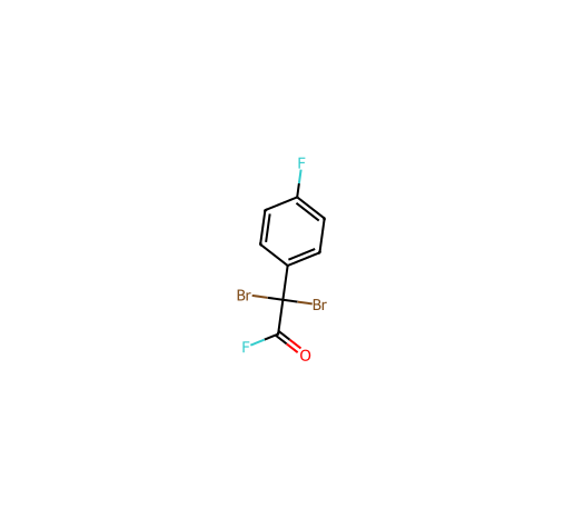 O=C(F)C(Br)(Br)c1ccc(F)cc1